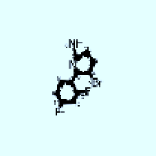 Nc1ccc(Br)c(-c2ccc(F)cc2F)n1